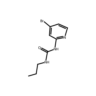 CCCNC(=O)Nc1cc(Br)ccn1